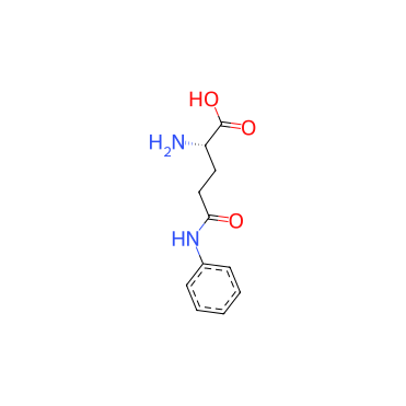 N[C@@H](CCC(=O)Nc1ccccc1)C(=O)O